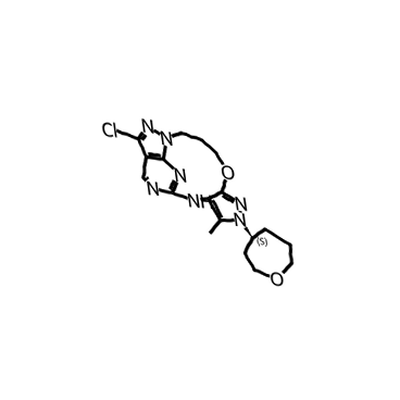 Cc1c2c(nn1[C@H]1CCCOCC1)OCCCn1nc(Cl)c3cnc(nc31)N2